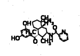 C[C@@H]1[C@H](NC(=O)c2ccccn2)C[C@H]2C(C)(C)CCC[C@]2(C)[C@H]1C(=O)c1cc(O)cc(O)c1